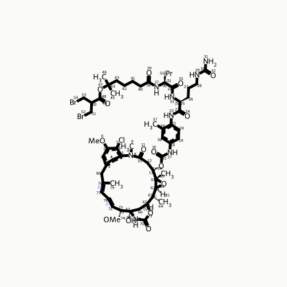 COc1cc2cc(c1Cl)N(C)C(=O)C[C@H](OC(=O)Nc1ccc(NC(=O)[C@H](CCCNC(N)=O)NC(=O)[C@@H](NC(=O)CCCCC(C)(C)OC(=O)C(CBr)CBr)C(C)C)c(C)c1)[C@]1(C)O[C@H]1[C@H](C)[C@@H]1C[C@@](O)(NC(=O)O1)[C@H](OC)/C=C/C=C(\C)C2